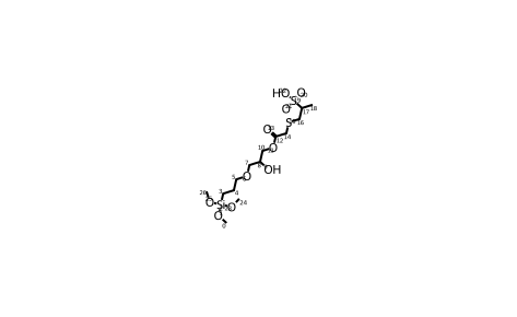 CO[Si](CCCOCC(O)COC(=O)CSCC(C)S(=O)(=O)O)(OC)OC